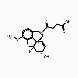 COc1ccc2c3c1O[C@H]1C[C@@H](O)C=C[C@@]31CCN(C(=O)CCC(=O)O)C2